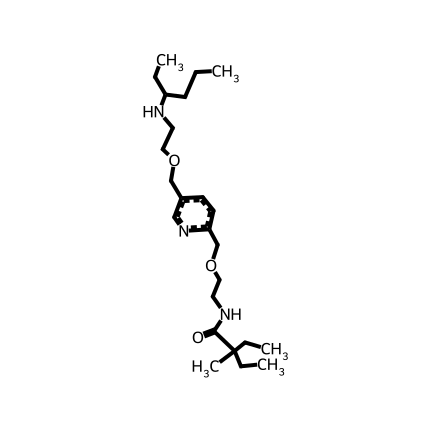 CCCC(CC)NCCOCc1ccc(COCCNC(=O)C(C)(CC)CC)nc1